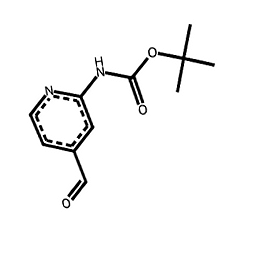 CC(C)(C)OC(=O)Nc1cc(C=O)ccn1